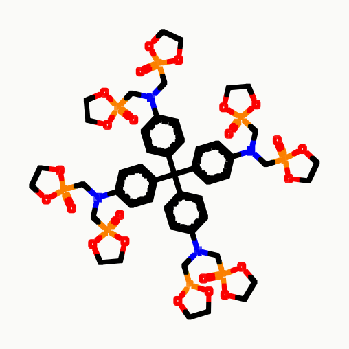 O=P1(CN(CP2OCCO2)c2ccc(C(c3ccc(N(CP4(=O)OCCO4)CP4(=O)OCCO4)cc3)(c3ccc(N(CP4(=O)OCCO4)CP4(=O)OCCO4)cc3)c3ccc(N(CP4(=O)OCCO4)CP4(=O)OCCO4)cc3)cc2)OCCO1